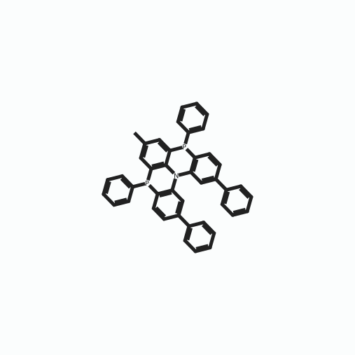 Cc1cc2c3c(c1)P(c1ccccc1)c1ccc(-c4ccccc4)cc1N3c1cc(-c3ccccc3)ccc1P2c1ccccc1